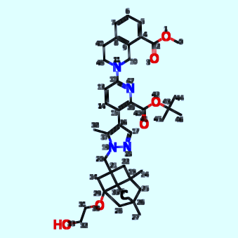 COC(=O)c1cccc2c1CN(c1ccc(-c3cnn(CC45CC6(C)CC7(C)CC(OCCO)(C4)C65C7)c3C)c(C(=O)OC(C)(C)C)n1)CC2